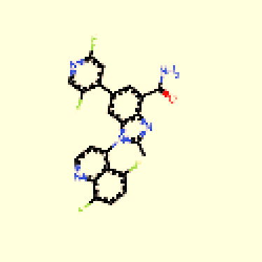 Cc1nc2c(C(N)=O)cc(-c3cc(F)ncc3F)cc2n1-c1ccnc2c(F)ccc(F)c12